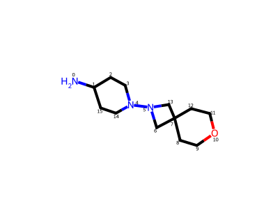 NC1CCN(N2CC3(CCOCC3)C2)CC1